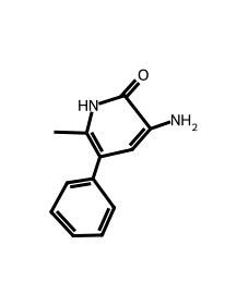 Cc1[nH]c(=O)c(N)cc1-c1ccccc1